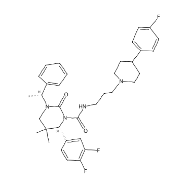 C[C@H](c1ccccc1)N1CC(C)(C)[C@@H](c2ccc(F)c(F)c2)N(C(=O)NCCCN2CCC(c3ccc(F)cc3)CC2)C1=O